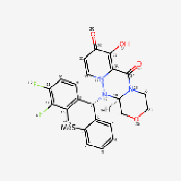 CSc1ccccc1[C@H](c1ccc(F)c(F)c1C)N1[C@@H]2COCCN2C(=O)c2c(O)c(=O)ccn21